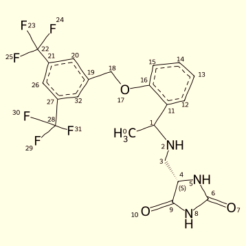 CC(NC[C@@H]1NC(=O)NC1=O)c1ccccc1OCc1cc(C(F)(F)F)cc(C(F)(F)F)c1